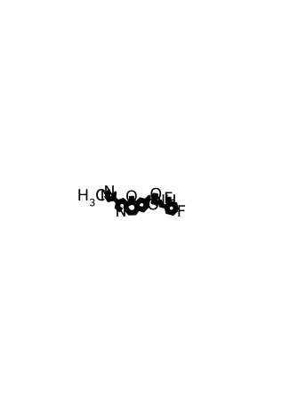 Cn1cc(-c2cnc3ccc4ccc(CS(=O)(=O)NCc5ccc(F)cc5F)cc4c(=O)c3c2)cn1